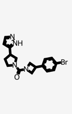 O=C(N1CC(c2ccc(Br)cc2)C1)N1CCC(c2ccn[nH]2)C1